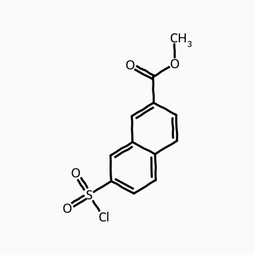 COC(=O)c1ccc2ccc(S(=O)(=O)Cl)cc2c1